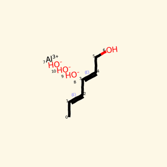 C/C=C/C=C/CO.[Al+3].[OH-].[OH-].[OH-]